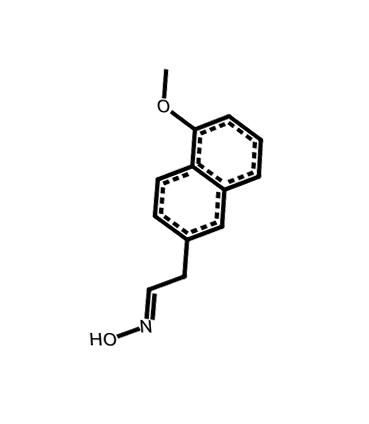 COc1cccc2cc(CC=NO)ccc12